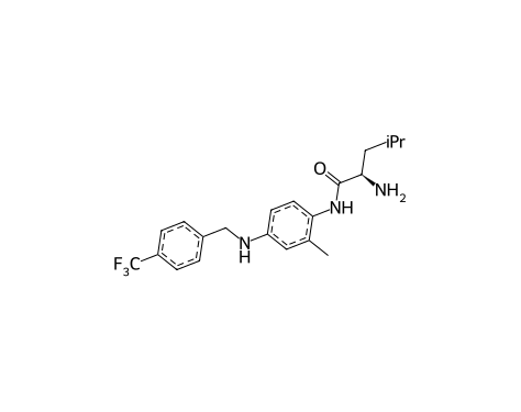 Cc1cc(NCc2ccc(C(F)(F)F)cc2)ccc1NC(=O)[C@H](N)CC(C)C